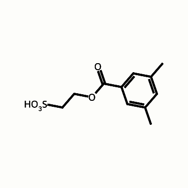 Cc1cc(C)cc(C(=O)OCCS(=O)(=O)O)c1